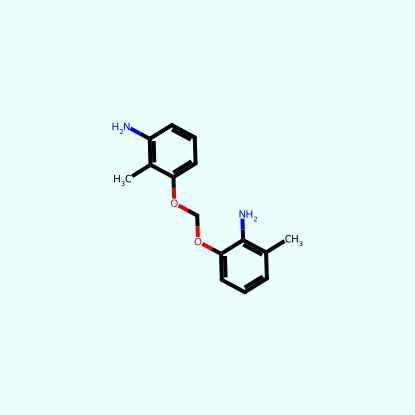 Cc1cccc(OCOc2cccc(N)c2C)c1N